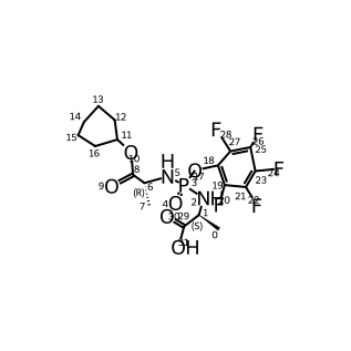 C[C@H](NP(=O)(N[C@H](C)C(=O)OC1CCCCC1)Oc1c(F)c(F)c(F)c(F)c1F)C(=O)O